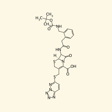 CC(C)(C)OC(=O)NCc1ccccc1CC(=O)NC1C(=O)N2C(C(=O)O)=C(CSc3ccc4nnnn4n3)CS[C@@H]12